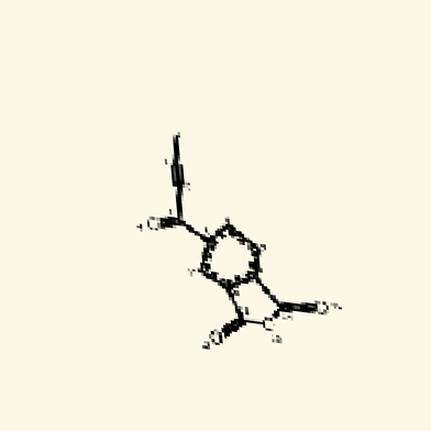 CC#CC(=O)c1ccc2c(c1)C(=O)OC2=O